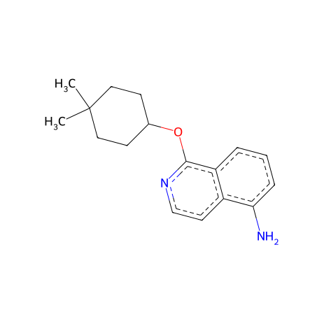 CC1(C)CCC(Oc2nccc3c(N)cccc23)CC1